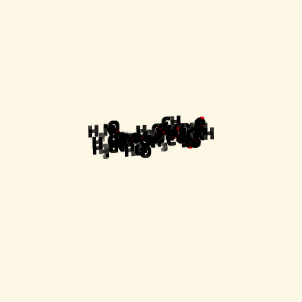 Cc1c(-c2ccc(N3CCc4cccc(C(=O)Nc5nc6ccccc6s5)c4C3)nc2C(=O)O)cnn1CC12CC3(C)CC(C)(C1)CC(OCCN(CCC(=O)O)C(=O)OCc1ccc(NC[C@H](CCCNC(N)=O)NC[C@@H](N)C(C)C)cc1)(C3)C2